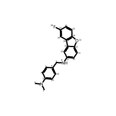 CN(C)c1ccc(CNc2ccc3oc4ccc(F)cc4c3c2)cc1